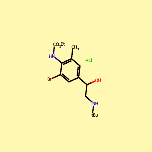 CCOC(=O)Nc1c(C)cc(C(O)CNC(C)(C)C)cc1Br.Cl